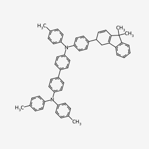 Cc1ccc(N(c2ccc(C)cc2)c2ccc(-c3ccc(N(c4ccc(C)cc4)c4ccc(C5C=CC6=C(C5)c5ccccc5C6(C)C)cc4)cc3)cc2)cc1